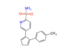 Cc1ccc(C2=CCC=C2c2ccc(S(N)(=O)=O)nc2)cc1